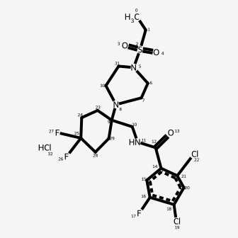 CCS(=O)(=O)N1CCN(C2(CNC(=O)c3cc(F)c(Cl)cc3Cl)CCC(F)(F)CC2)CC1.Cl